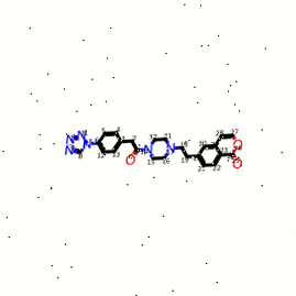 O=C(Cc1ccc(-n2cnnn2)cc1)N1CCN(CCc2ccc3c(=O)occc3c2)CC1